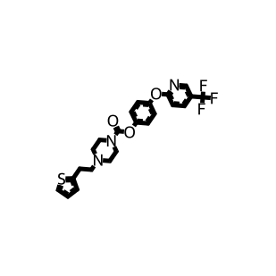 O=C(Oc1ccc(Oc2ccc(C(F)(F)F)cn2)cc1)N1CCN(CCc2cccs2)CC1